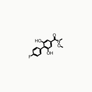 CON(C)C(=O)c1cc(O)c(-c2ccc(F)cc2)c(O)c1